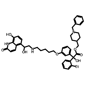 CCc1ccccc1C(O)(C(=O)OCC1CCN(Cc2ccccc2)CC1)c1cccc(OCCCCCNCC(O)c2ccc(O)c3[nH]c(=O)ccc23)c1